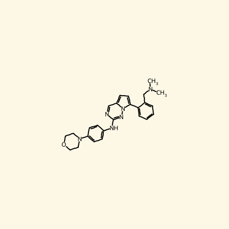 CN(C)Cc1ccccc1-c1ccc2cnc(Nc3ccc(N4CCOCC4)cc3)nn12